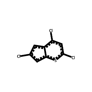 Clc1[c]c2sc(Cl)cc(Cl)c-2c1